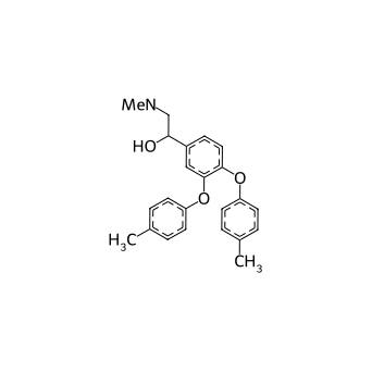 CNCC(O)c1ccc(Oc2ccc(C)cc2)c(Oc2ccc(C)cc2)c1